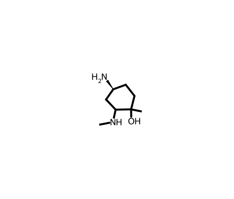 CNC1C[C@@H](N)CCC1(C)O